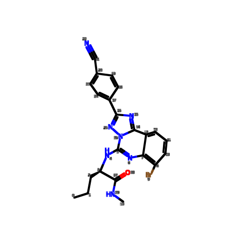 CCC[C@@H](Nc1nc2c(Br)cccc2c2nc(-c3ccc(C#N)cc3)nn12)C(=O)NC